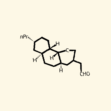 CCC[C@@H]1CC[C@H]2[C@@H](CC[C@@H]3CC(CC=O)CC[C@H]32)C1